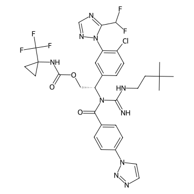 CC(C)(C)CCNC(=N)N(C(=O)c1ccc(-n2ccnn2)cc1)[C@H](COC(=O)NC1(C(F)(F)F)CC1)c1ccc(Cl)c(-n2ncnc2C(F)F)c1